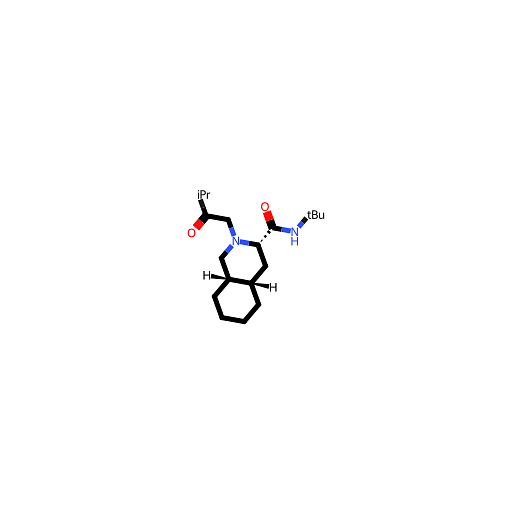 CC(C)C(=O)CN1C[C@H]2CCCC[C@H]2C[C@H]1C(=O)NC(C)(C)C